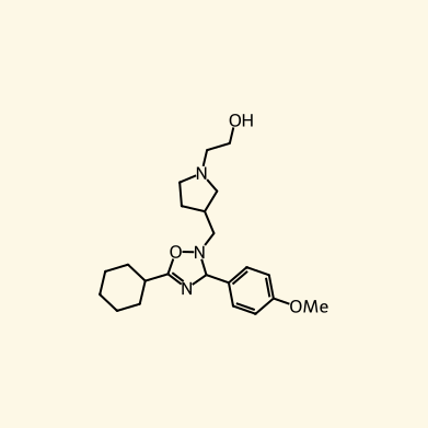 COc1ccc(C2N=C(C3CCCCC3)ON2CC2CCN(CCO)C2)cc1